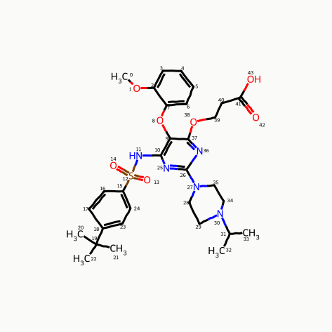 COc1ccccc1Oc1c(NS(=O)(=O)c2ccc(C(C)(C)C)cc2)nc(N2CCN(C(C)C)CC2)nc1OCCC(=O)O